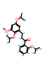 COc1cc(OC(C)C)cc(CCC(=O)c2ccccc2OC(C)C)c1OC(C)C